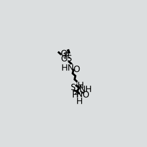 C=CP(=O)(OCC)SCCNC(=O)CCCC[C@H]1SC[C@H]2NC(=O)N[C@H]21